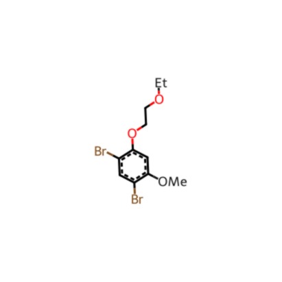 CCOCCOc1cc(OC)c(Br)cc1Br